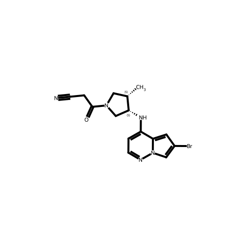 C[C@H]1CN(C(=O)CC#N)C[C@H]1Nc1ccnn2cc(Br)cc12